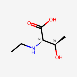 CCN[C@H](C(=O)O)[C@@H](C)O